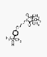 CN1C(=O)N(CCCCOc2ccc(C(O)(C(F)(F)F)C(F)(F)F)cc2)C(=O)C1(C)C